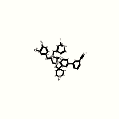 N#Cc1cccc(-c2ccc3c(c2)C2(CCNCC2)C[N+]3(C/C=C/c2ccc(Cl)c(Cl)c2)C(=O)NCc2ccnc(F)c2)c1